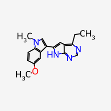 CCc1ncnc2[nH]c(-c3cn(C)c4ccc(OC)cc34)cc12